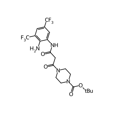 CC(C)(C)OC(=O)N1CCN(C(=O)CC(=O)Nc2cc(C(F)(F)F)cc(C(F)(F)F)c2N)CC1